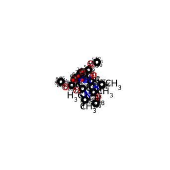 Cc1cc(C)c(N2c3cc4c(cc3B3c5cc6c(cc5N(c5c(C)cc(C)cc5C)c5cc(Oc7ccccc7)cc2c53)Oc2cc(Oc3ccccc3)cc3c2B6c2[nH]c5ccccc5c2O3)B2c3[nH]c5ccccc5c3Oc3cc(Oc5ccccc5)cc(c32)O4)c(C)c1